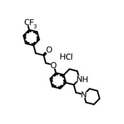 Cl.O=C(COc1cccc2c1CCNC2CN1CCCCC1)Cc1ccc(C(F)(F)F)cc1